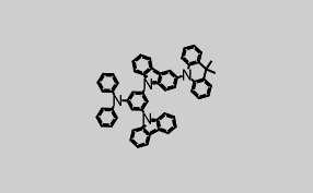 CC1(C)c2ccccc2N(c2ccc3c(c2)c2ccccc2n3-c2cc(N(c3ccccc3)c3ccccc3)cc(-n3c4ccccc4c4ccccc43)c2)c2ccccc21